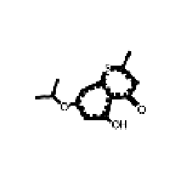 Cc1cc(=O)c2c(O)cc(OC(C)C)cc2s1